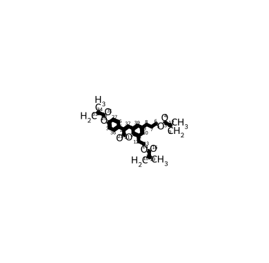 C=C(C)C(=O)OCCCc1cc(CCOC(=O)C(=C)C)c2oc(=O)c(-c3ccc(OC(=O)C(=C)C)cc3)cc2c1